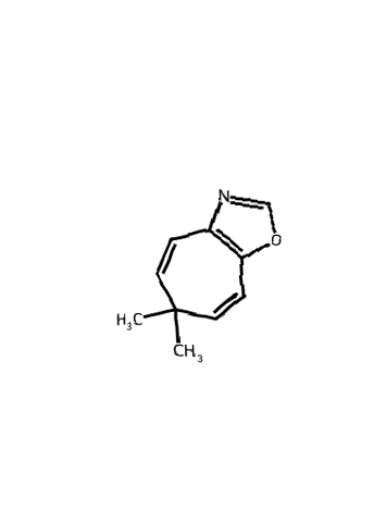 CC1(C)C=Cc2ncoc2C=C1